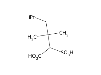 CC(C)CC(C)(C)C(C(=O)O)S(=O)(=O)O